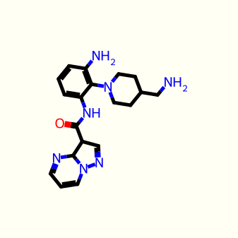 NCC1CCN(c2c(N)cccc2NC(=O)C2C=NN3C=CC=NC23)CC1